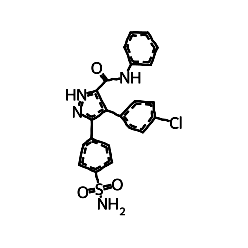 NS(=O)(=O)c1ccc(-c2n[nH]c(C(=O)Nc3ccccc3)c2-c2ccc(Cl)cc2)cc1